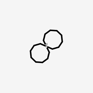 C1CCCC[PH]2(CCC1)CCCCCCCC2